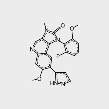 COc1cc2ncc3c(c2cc1-c1ccn[nH]1)n(-c1c(F)cccc1OC)c(=O)n3C